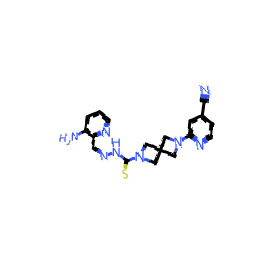 N#Cc1ccnc(N2CC3(CN(C(=S)N/N=C\c4ncccc4N)C3)C2)c1